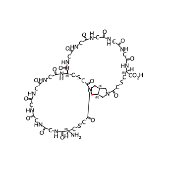 N[C@H]1CSCC(=O)N2C[C@@]34CN5C[C@@]3(CN(C4)C(=O)CSC[C@H](NC(=O)CNC(=O)CNC(=O)CNC(=O)CNC(=O)CNC1=O)C(=O)NCC(=O)NCC(=O)NCC(=O)NCC(=O)NCC(=O)N[C@H](C(=O)O)CSCC5=O)C2